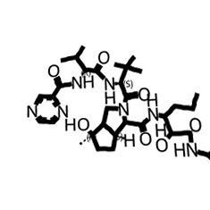 CCCC(NC(=O)C1[C@H]2CC[C@@](C)(O)C2CN1C(=O)[C@@H](NC(=O)[C@H](NC(=O)c1cnccn1)C(C)C)C(C)(C)C)C(O)C(=O)NC1CC1